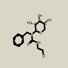 O=C(NCCCl)N(Cc1ccccc1)C1OC[C@H](O)[C@H](O)[C@H]1O